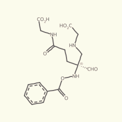 O=C[C@](CCC(=O)NCC(=O)O)(CNCC(=O)O)NOC(=O)c1ccccc1